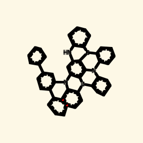 c1ccc(-c2ccc(-c3ccccc3)c(N3c4ccccc4B4c5ccccc5N5c6ccccc6B6c7ccccc7Nc7cc3c4c5c76)c2)cc1